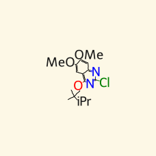 COc1cc2nc(Cl)nc(OCC(C)(C)C(C)C)c2cc1OC